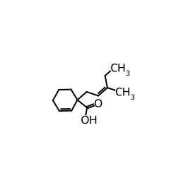 CCC(C)=CCC1(C(=O)O)C=CCCC1